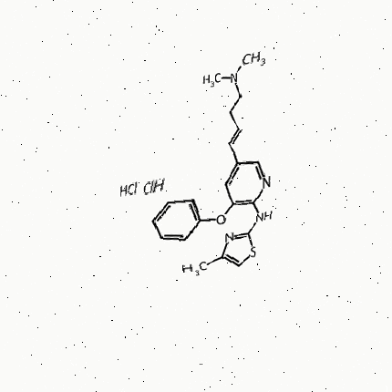 Cc1csc(Nc2ncc(C=CCCN(C)C)cc2Oc2ccccc2)n1.Cl.Cl